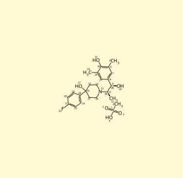 CS(=O)(=O)O.Cc1cc([C@@H](O)[C@@H](C)N2CCC(O)(c3ccc(F)cc3)CC2)cc(C)c1O